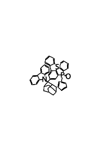 O=P(c1ccccc1)(c1ccccc1)c1cc(C2(n3c4ccccc4c4ccccc43)C3CC4CC(C3)CC2C4)cc2c1sc1ccccc12